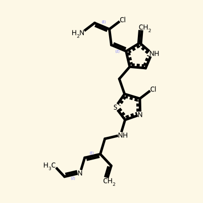 C=C/C(=C\N=C/C)CNc1nc(Cl)c(Cc2c[nH]c(=C)/c2=C\C(Cl)=C/N)s1